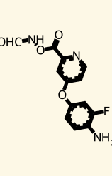 Nc1ccc(Oc2ccnc(C(=O)ONC=O)c2)cc1F